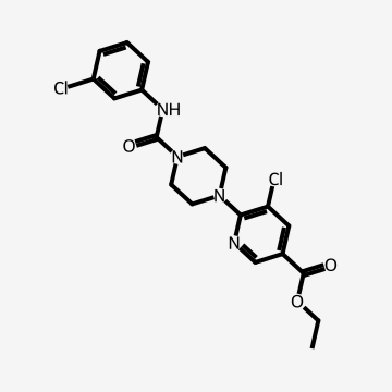 CCOC(=O)c1cnc(N2CCN(C(=O)Nc3cccc(Cl)c3)CC2)c(Cl)c1